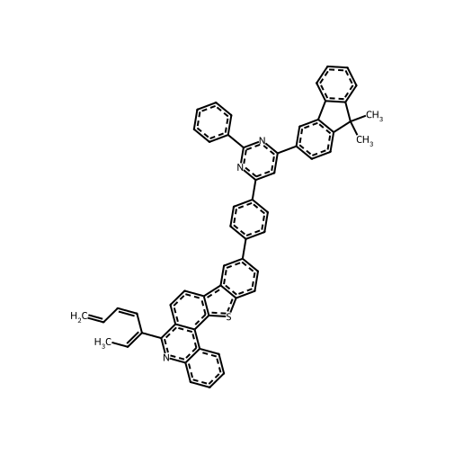 C=C/C=C\C(=C/C)c1nc2ccccc2c2c1ccc1c3cc(-c4ccc(-c5cc(-c6ccc7c(c6)-c6ccccc6C7(C)C)nc(-c6ccccc6)n5)cc4)ccc3sc12